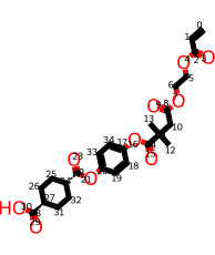 C=CC(=O)OCCOC(=O)CC(C)(C)C(=O)Oc1ccc(OC(=O)[C@H]2CC[C@H](C(=O)O)CC2)cc1